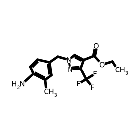 CCOC(=O)c1cn(Cc2ccc(N)c(C)c2)nc1C(F)(F)F